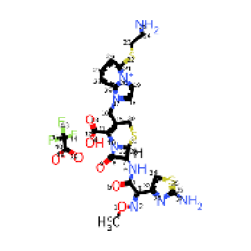 CO/N=C(\C(=O)N[C@@H]1C(=O)N2C(C(=O)O)=C(Cn3cc[n+]4c(SCCN)cccc34)CS[C@@H]12)c1csc(N)n1.O=C([O-])C(F)(F)F